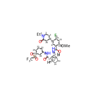 CCn1ccc(-c2cc(C(=O)N[C@@H]3[C@H]4CC[C@H](C4)[C@@H]3C(=O)Nc3cccc(S(=O)(=O)C(F)(F)F)c3)c(OC)cc2F)cc1=O